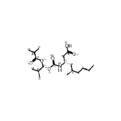 CCCC[C@@H](C)C[C@@H](CC(=O)O)NC(=O)O[C@@H](OC(=O)C(C)C)C(C)C